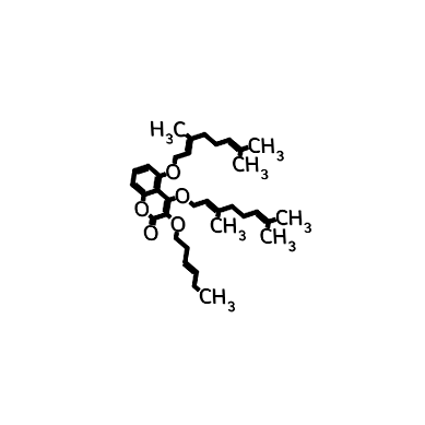 CCC=CCCOc1c(OC/C=C(\C)CCC=C(C)C)c2c(OC/C=C(\C)CCC=C(C)C)cccc2oc1=O